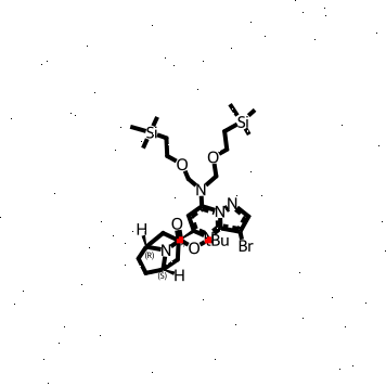 CC(C)(C)OC(=O)N1[C@@H]2CC[C@H]1C[C@H](c1cc(N(COCC[Si](C)(C)C)COCC[Si](C)(C)C)n3ncc(Br)c3n1)C2